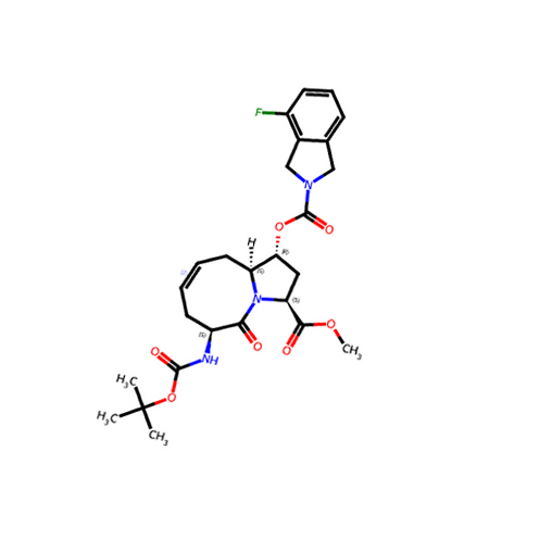 COC(=O)[C@@H]1C[C@@H](OC(=O)N2Cc3cccc(F)c3C2)[C@@H]2C/C=C\C[C@H](NC(=O)OC(C)(C)C)C(=O)N12